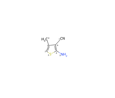 Cc1csc(N)c1C#N